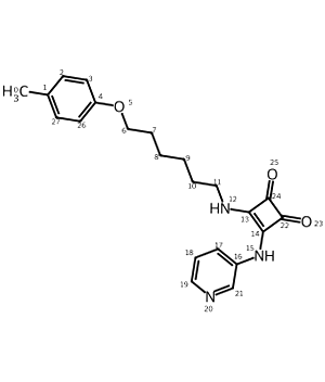 Cc1ccc(OCCCCCCNc2c(Nc3cccnc3)c(=O)c2=O)cc1